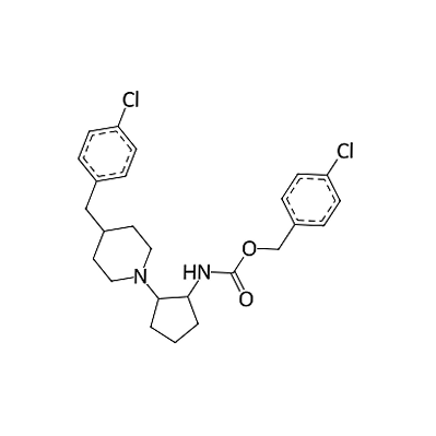 O=C(NC1CCCC1N1CCC(Cc2ccc(Cl)cc2)CC1)OCc1ccc(Cl)cc1